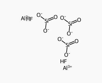 F.F.O=[Si]([O-])[O-].O=[Si]([O-])[O-].O=[Si]([O-])[O-].[Al+3].[Al+3]